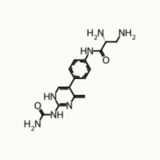 C=C1N=C(NC(N)=O)NC=C1c1ccc(NC(=O)[C@H](N)CN)cc1